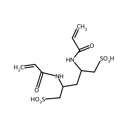 C=CC(=O)NC(CC(CS(=O)(=O)O)NC(=O)C=C)CS(=O)(=O)O